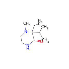 CCC1(C(C)C)C(=O)NCCN1C